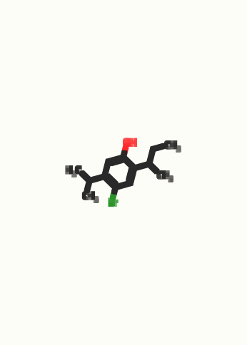 CCC(C)c1cc(Br)c(C(C)C)cc1O